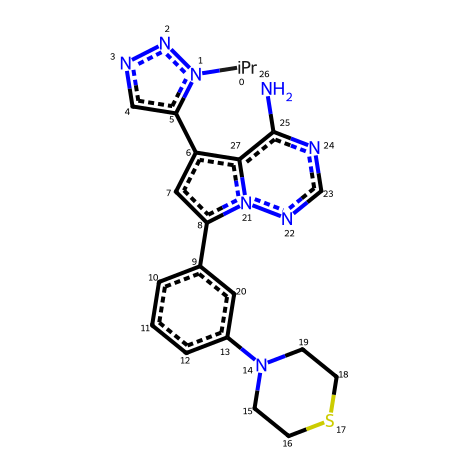 CC(C)n1nncc1-c1cc(-c2cccc(N3CCSCC3)c2)n2ncnc(N)c12